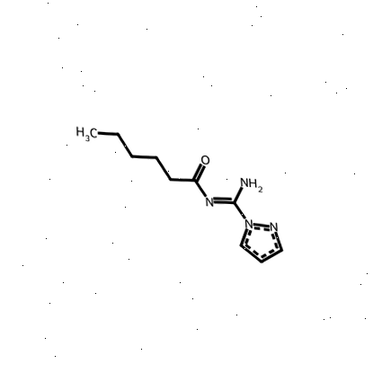 CCCCCC(=O)N=C(N)n1cccn1